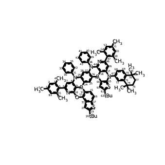 Cc1cc(C)c(-c2cc3c4c(n2)Oc2c(ccc5sc(C(C)(C)C)cc25)B4c2cc4c(cc2N3c2ccccc2)N(c2ccccc2)c2nc(-c3c(C)cc(C)cc3C)cc3c2B4c2cc(C(C)(C)C)sc2N3c2ccc3c(c2)C(C)(C)CCC3(C)C)c(C)c1